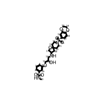 CNS(=O)(=O)c1cccc(OC[C@@H](O)CNC2COC3(CCN(S(=O)(=O)c4ccc5c(c4)OCCO5)CC3)C2)c1